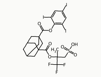 CC(CS(=O)(=O)O)(OC(=O)C12CC3CC(CC(C(=O)Oc4c(I)cc(I)cc4I)(C3)C1)C2)C(F)(F)F